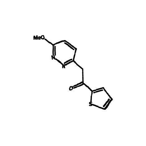 COc1ccc(CC(=O)c2cccs2)nn1